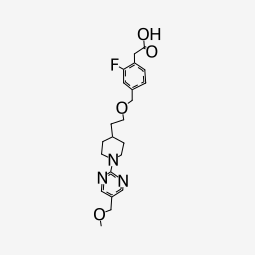 COCc1cnc(N2CCC(CCOCc3ccc(CC(=O)O)c(F)c3)CC2)nc1